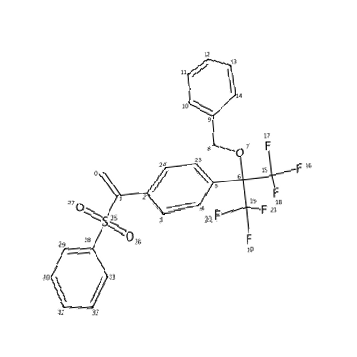 C=C(c1ccc(C(OCc2ccccc2)(C(F)(F)F)C(F)(F)F)cc1)S(=O)(=O)c1ccccc1